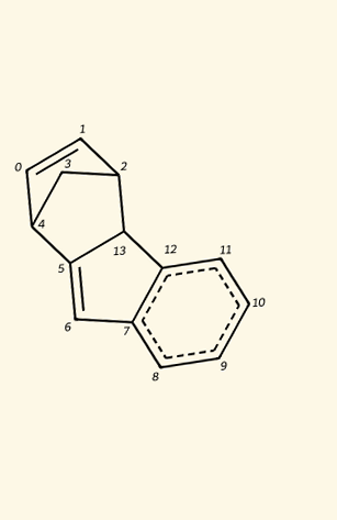 C1=CC2CC1C1=Cc3ccccc3C12